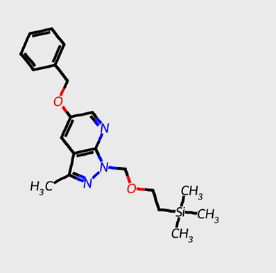 Cc1nn(COCC[Si](C)(C)C)c2ncc(OCc3ccccc3)cc12